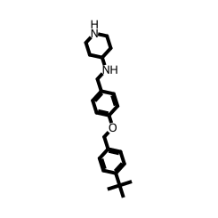 CC(C)(C)c1ccc(COc2ccc(CNC3CCNCC3)cc2)cc1